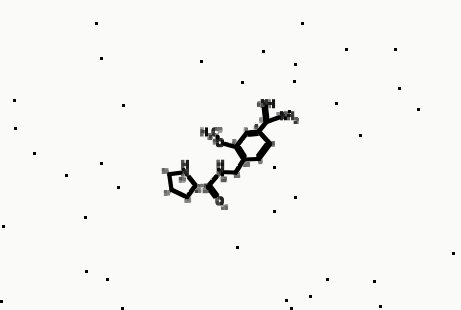 COc1cc(C(=N)N)ccc1CNC(=O)[C@@H]1CCCN1